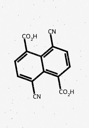 N#Cc1ccc(C(=O)O)c2c(C#N)ccc(C(=O)O)c12